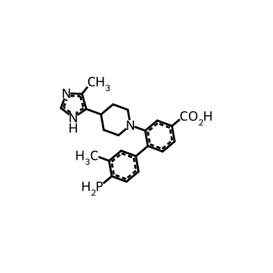 Cc1cc(-c2ccc(C(=O)O)cc2N2CCC(c3[nH]cnc3C)CC2)ccc1P